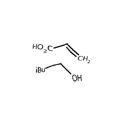 C=CC(=O)O.CCC(C)CO